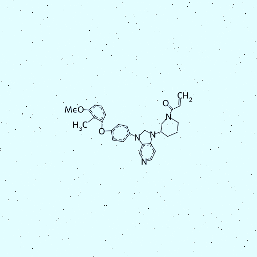 C=CC(=O)N1CCCC(N2CN(c3ccc(Oc4cccc(OC)c4C)cc3)c3cnccc32)C1